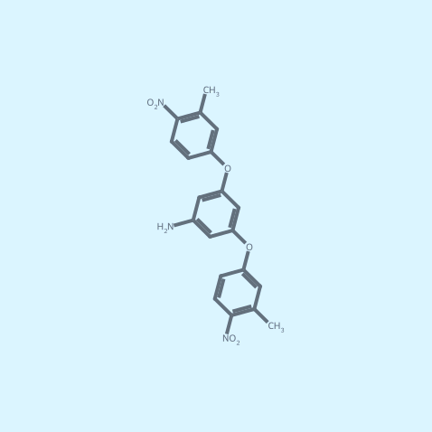 Cc1cc(Oc2cc(N)cc(Oc3ccc([N+](=O)[O-])c(C)c3)c2)ccc1[N+](=O)[O-]